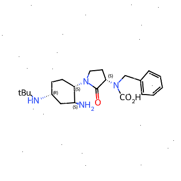 CC(C)(C)N[C@@H]1CC[C@H](N2CC[C@H](N(Cc3ccccc3)C(=O)O)C2=O)[C@@H](N)C1